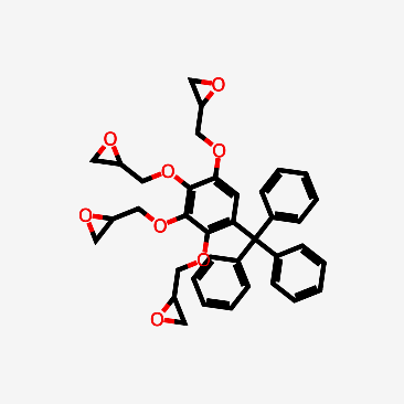 c1ccc(C(c2ccccc2)(c2ccccc2)c2cc(OCC3CO3)c(OCC3CO3)c(OCC3CO3)c2OCC2CO2)cc1